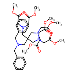 COC(=O)CN(CC(=O)OC)CC(CN(CC(=O)OC)CC(=O)OC)(CN(CC(=O)OC)CC(=O)OC)CN(Cc1ccccc1)Cc1ccccc1